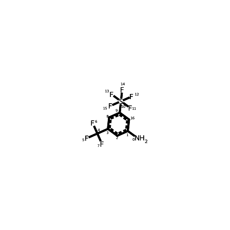 Nc1cc(C(F)(F)F)cc(S(F)(F)(F)(F)F)c1